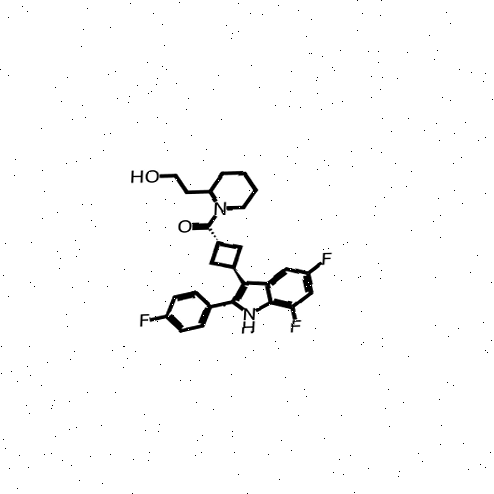 O=C([C@H]1C[C@H](c2c(-c3ccc(F)cc3)[nH]c3c(F)cc(F)cc32)C1)N1CCCCC1CCO